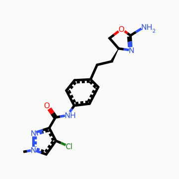 Cn1cc(Cl)c(C(=O)Nc2ccc(CC[C@H]3COC(N)=N3)cc2)n1